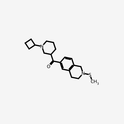 CSN1CCc2cc(C(=O)C3CCCN(C4CCC4)C3)ccc2C1